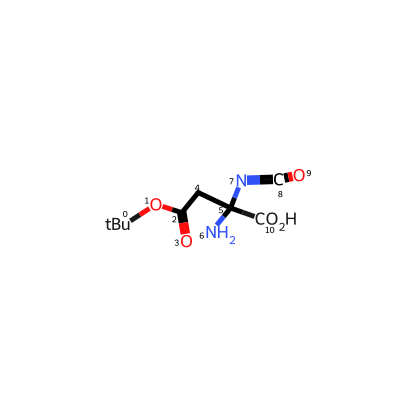 CC(C)(C)OC(=O)CC(N)(N=C=O)C(=O)O